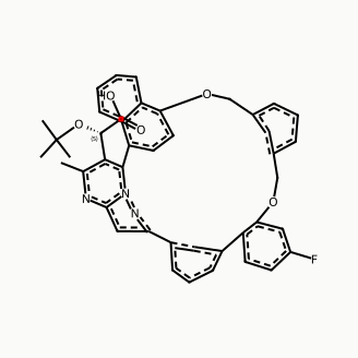 Cc1nc2cc3nn2c(c1[C@H](OC(C)(C)C)C(=O)O)-c1ccc(c2ccccc12)OCc1cccc(c1)COc1cc(F)ccc1-c1cccc-3c1